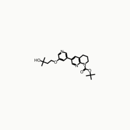 CC(C)(O)CCOc1cncc(-c2cnc3c(c2)CCCN3C(=O)OC(C)(C)C)c1